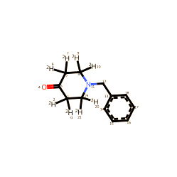 [2H]C1([2H])C(=O)C([2H])([2H])C([2H])([2H])N(Cc2ccccc2)C1([2H])[2H]